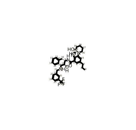 CCCc1cc(C(=O)N[C@@H](Cc2ccccc2)[C@@H](O)CNCc2cccc(C(F)(F)F)c2)c(F)c(N2CCCCS2(O)O)c1